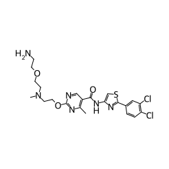 Cc1nc(OCCN(C)CCOCCN)ncc1C(=O)Nc1csc(-c2ccc(Cl)c(Cl)c2)n1